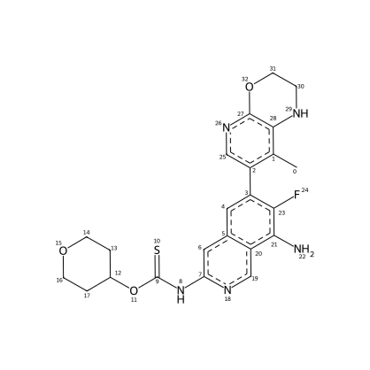 Cc1c(-c2cc3cc(NC(=S)OC4CCOCC4)ncc3c(N)c2F)cnc2c1NCCO2